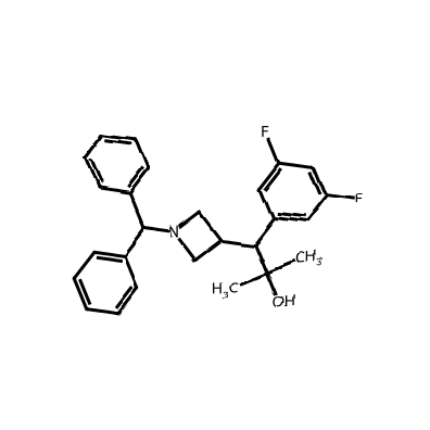 CC(C)(O)C(c1cc(F)cc(F)c1)C1CN(C(c2ccccc2)c2ccccc2)C1